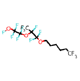 FOC(F)(F)C(F)(F)OC(F)(C(F)(F)F)C(F)(F)OCCCCCC(F)(F)F